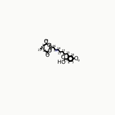 COc1ccc(C(=O)O)c(CCCC/C=C/CB2OC(=O)CN(C)CC(=O)O2)c1